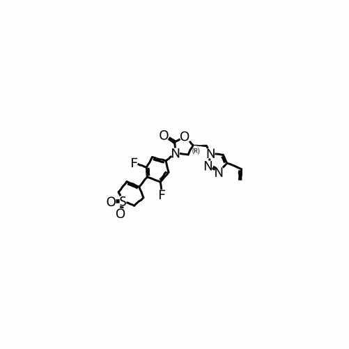 C=Cc1cn(C[C@H]2CN(c3cc(F)c(C4=CCS(=O)(=O)CC4)c(F)c3)C(=O)O2)nn1